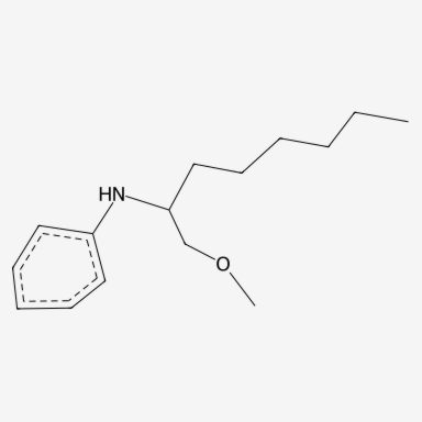 CCCCCCC(COC)Nc1ccccc1